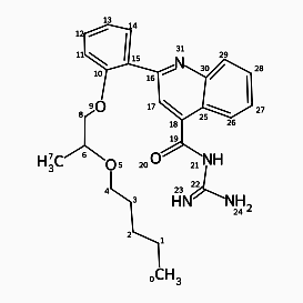 CCCCCOC(C)COc1ccccc1-c1cc(C(=O)NC(=N)N)c2ccccc2n1